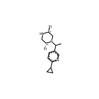 CC[C@H]1CN(C(C)c2ccc(C3CC3)nc2)[C@H](CC)CN1